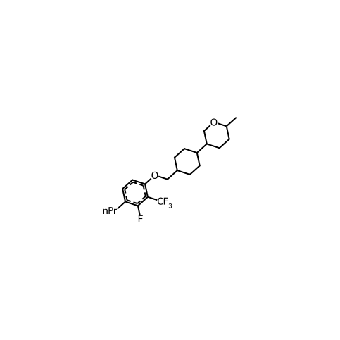 CCCc1ccc(OCC2CCC(C3CCC(C)OC3)CC2)c(C(F)(F)F)c1F